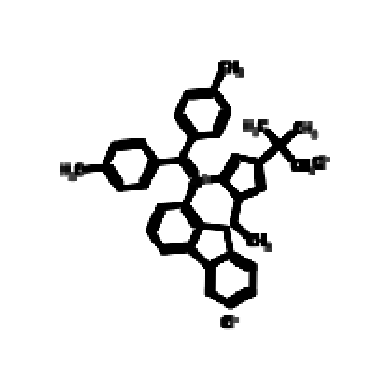 CCC1C=C(C(C)(C)C)C=[C]1[Zr+2](=[C](c1ccc(C)cc1)c1ccc(C)cc1)[c]1cccc2c1Cc1ccccc1-2.[Cl-].[Cl-]